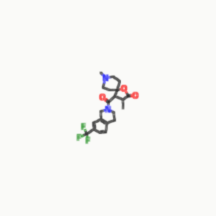 CC1C(=O)OC2(CCN(C)CC2)C1C(=O)N1CCc2ccc(C(F)(F)F)cc2C1